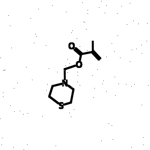 C=C(C)C(=O)OCN1CCSCC1